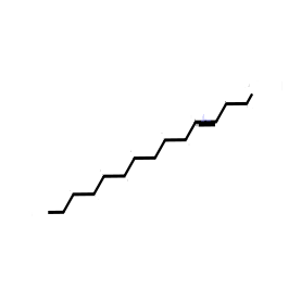 CCCCCCCCCCCCCCCCCCC/C=C/CCS(=O)(=O)O